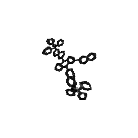 c1ccc([Si](c2ccccc2)(c2ccccc2)c2ccc3cc(-c4c5ccccc5c(-c5ccc6cc([Si](c7ccccc7)(c7ccccc7)c7ccccc7)ccc6c5)c5cc(-c6ccc7ccccc7c6)ccc45)ccc3c2)cc1